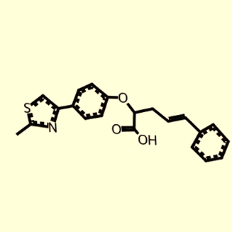 Cc1nc(-c2ccc(OC(CC=Cc3ccccc3)C(=O)O)cc2)cs1